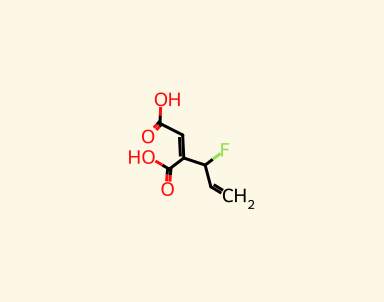 C=CC(F)C(=CC(=O)O)C(=O)O